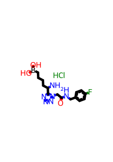 Cl.NC(CCCCB(O)O)c1nnnn1CC(=O)NCc1ccc(F)cc1